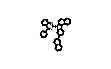 c1ccc(-c2nc(-n3c4cc(-c5ccc6ccccc6c5)ccc4c4c5ccccc5ccc43)nc3ccccc23)cc1